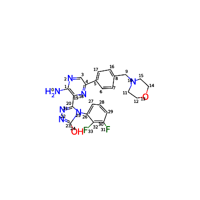 Nc1ncc(-c2ccc(CN3CCOCC3)cc2)nc1-c1nnc(O)n1-c1cccc(F)c1F